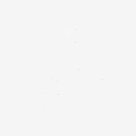 C1=C(c2ccc3c(c2)-c2cccc4cccc(c24)O3)N=C(c2ccccc2)NC1c1c2ccccc2cc2c1ccc1ccccc12